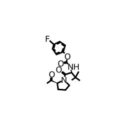 CC(=O)[C@@H]1CCCN1C(=O)[C@@H](NC(=O)Oc1ccc(F)cc1)C(C)(C)C